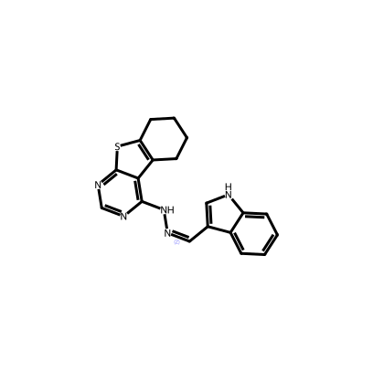 C(=N/Nc1ncnc2sc3c(c12)CCCC3)/c1c[nH]c2ccccc12